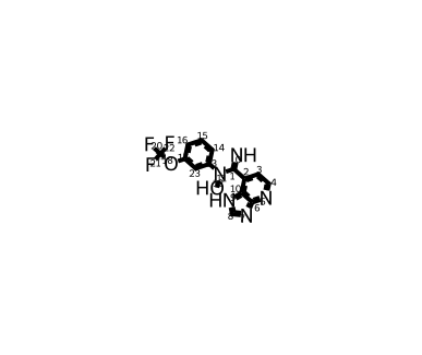 N=C(c1ccnc2nc[nH]c12)N(O)c1cccc(OC(F)(F)F)c1